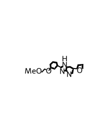 COCCOc1cccc(-c2nc3ncc(-c4ccco4)cc3[nH]2)c1